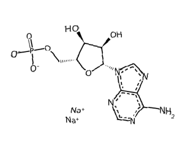 Nc1ncnc2c1ncn2[C@@H]1O[C@H](COP(=O)([O-])[O-])[C@@H](O)[C@H]1O.[Na+].[Na+]